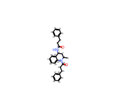 CC1CC(NC(=O)CCc2ccccc2)c2ccccc2N1C(=O)CCc1ccccc1